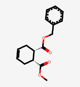 COC(=O)[C@@H]1CC=CC[C@@H]1C(=O)OCc1ccccc1